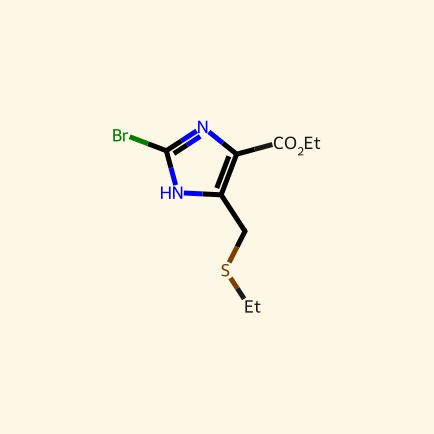 CCOC(=O)c1nc(Br)[nH]c1CSCC